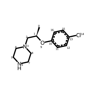 C[C@H](CN1CCNCC1)Oc1ccc(Cl)cc1